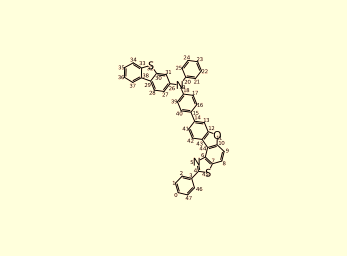 c1ccc(-c2nc3c(ccc4oc5cc(-c6ccc(N(c7ccccc7)c7ccc8c(c7)sc7ccccc78)cc6)ccc5c43)s2)cc1